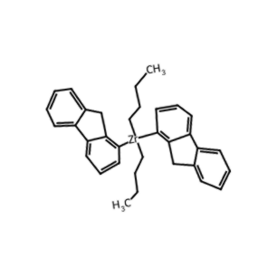 CCC[CH2][Zr]([CH2]CCC)([c]1cccc2c1Cc1ccccc1-2)[c]1cccc2c1Cc1ccccc1-2